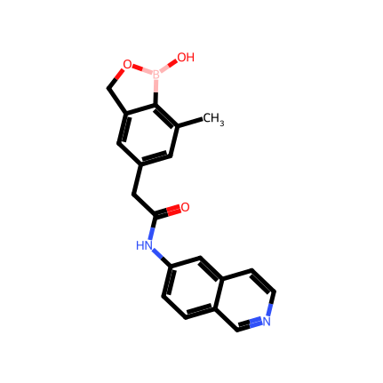 Cc1cc(CC(=O)Nc2ccc3cnccc3c2)cc2c1B(O)OC2